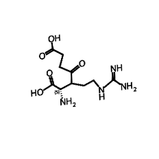 N=C(N)NCCC(C(=O)CCC(=O)O)[C@H](N)C(=O)O